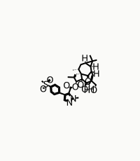 CC1=C[C@]23C(=O)[C@@H](C=C(CO)[C@@H](O)[C@]2(O)[C@H]1OC(=O)c1c(-c2ccc(S(C)(=O)=O)cc2)cnn1C)[C@H]1[C@@H](C[C@H]3C)C1(C)C